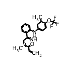 C=CC(=O)N(C)CC(=N)c1ccccc1NC1=CC=C(OC(F)(F)F)C(C)C1